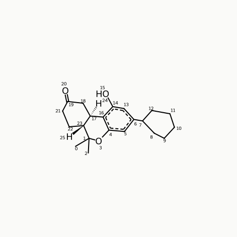 CC1(C)Oc2cc(C3CCCCC3)cc(O)c2[C@@H]2CC(=O)CC[C@H]21